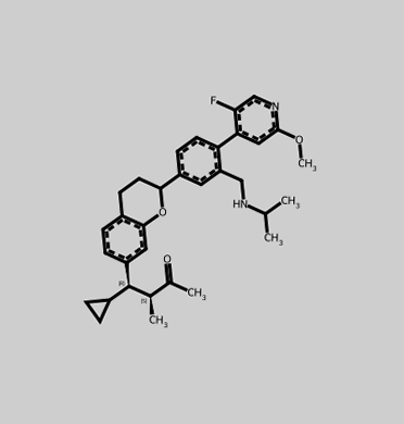 COc1cc(-c2ccc(C3CCc4ccc([C@H](C5CC5)[C@H](C)C(C)=O)cc4O3)cc2CNC(C)C)c(F)cn1